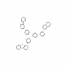 CC1(C)c2ccccc2-c2cccc(-c3ccc(N(c4ccc(-c5cccc(-c6ccc7ccccc7c6)c5)cc4)c4ccc(-c5ccc6oc7ccccc7c6c5)cc4)cc3)c21